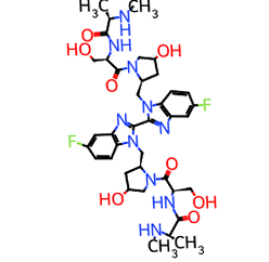 CN[C@H](C)C(=O)N[C@H](CO)C(=O)N1CC(O)C[C@H]1Cn1c(-c2nc3cc(F)ccc3n2C[C@@H]2CC(O)CN2C(=O)[C@@H](CO)NC(=O)[C@@H](C)NC)nc2cc(F)ccc21